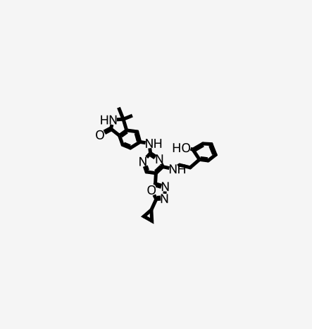 CC1(C)NC(=O)c2ccc(Nc3ncc(-c4nnc(C5CC5)o4)c(NCCc4ccccc4O)n3)cc21